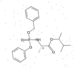 CC(C)C(C)OC(=O)[C@H](C)NP(=O)(OCc1ccccc1)Oc1ccccc1